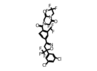 O=C(c1ccc(C2=NOC(c3cc(Cl)cc(Cl)c3)(C(F)(F)F)C2)cc1C(F)(F)F)N1CC(=O)N(CC(F)(F)F)C(=O)C1